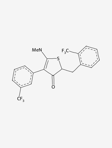 CNC1=C(c2cccc(C(F)(F)F)c2)C(=O)C(Cc2ccccc2C(F)(F)F)S1